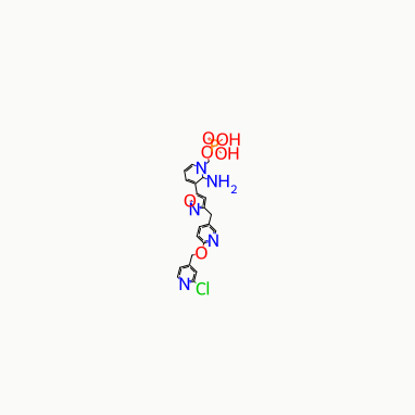 NC1C(c2cc(Cc3ccc(OCc4ccnc(Cl)c4)nc3)no2)=CC=CN1COP(=O)(O)O